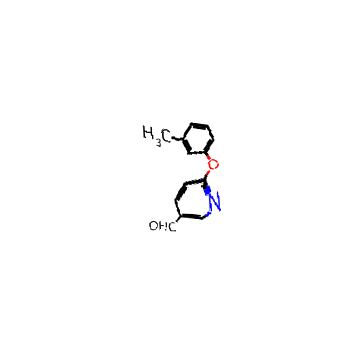 Cc1cccc(Oc2ccc(C=O)cn2)c1